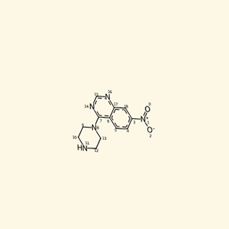 O=[N+]([O-])c1ccc2c(N3CCNCC3)ncnc2c1